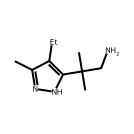 CCc1c(C)n[nH]c1C(C)(C)CN